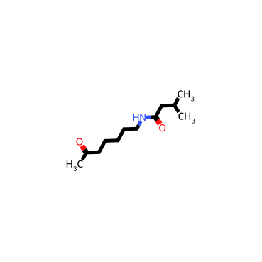 CC(=O)CCCCCNC(=O)CC(C)C